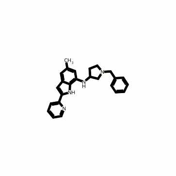 Cc1cc(NC2CCN(Cc3ccccc3)C2)c2[nH]c(-c3ccccn3)cc2c1